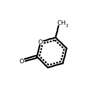 Cc1cccc(=O)o1